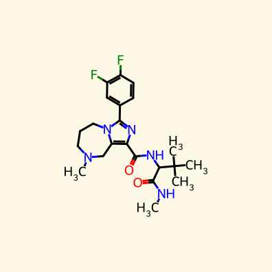 CNC(=O)C(NC(=O)c1nc(-c2ccc(F)c(F)c2)n2c1CN(C)CCC2)C(C)(C)C